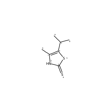 Cc1[nH]c(=S)sc1C(C)C